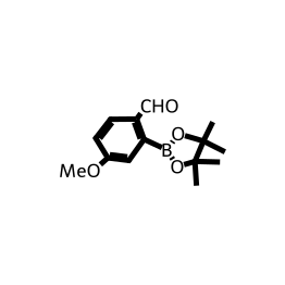 COc1ccc(C=O)c(B2OC(C)(C)C(C)(C)O2)c1